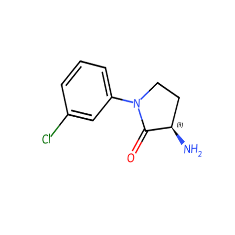 N[C@@H]1CCN(c2cccc(Cl)c2)C1=O